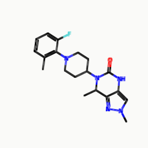 Cc1cccc(F)c1N1CCC(N2C(=O)Nc3cn(C)nc3C2C)CC1